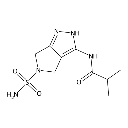 CC(C)C(=O)Nc1[nH]nc2c1CN(S(N)(=O)=O)C2